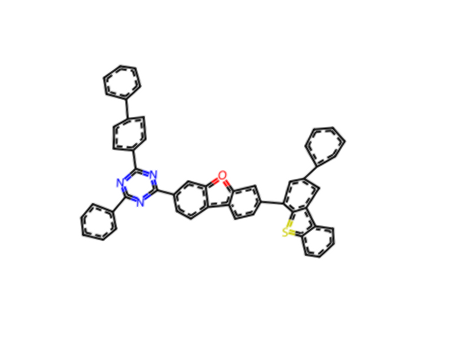 c1ccc(-c2ccc(-c3nc(-c4ccccc4)nc(-c4ccc5c(c4)oc4cc(-c6cc(-c7ccccc7)cc7c6sc6ccccc67)ccc45)n3)cc2)cc1